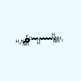 N=C(N)NCCCCCCCCNCCCCOc1ccc(C(=N)N)cc1F